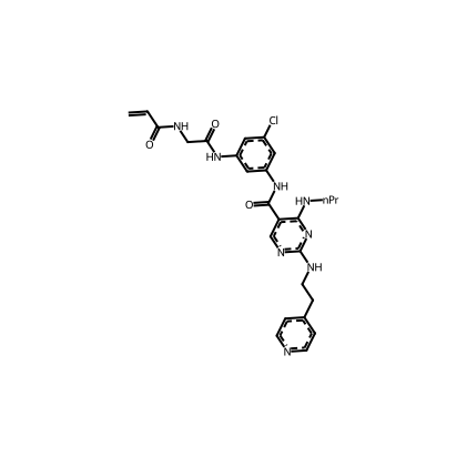 C=CC(=O)NCC(=O)Nc1cc(Cl)cc(NC(=O)c2cnc(NCCc3ccncc3)nc2NCCC)c1